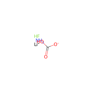 F.N.O=C([O-])O.[Li+]